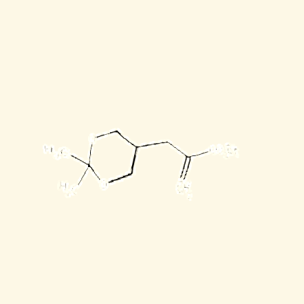 C=C(CC1COC(C)(C)OC1)C(=O)OCC